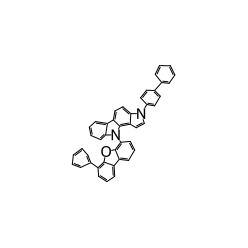 c1ccc(-c2ccc(-n3ccc4c3ccc3c5ccccc5n(-c5cccc6c5oc5c(-c7ccccc7)cccc56)c34)cc2)cc1